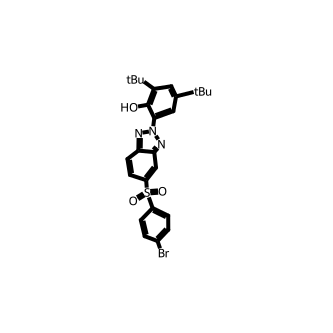 CC(C)(C)c1cc(-n2nc3ccc(S(=O)(=O)c4ccc(Br)cc4)cc3n2)c(O)c(C(C)(C)C)c1